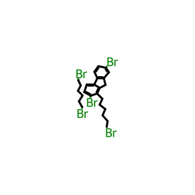 BrCCCCCCBr.BrCCCCCCc1c(Br)ccc2c1Cc1cc(Br)ccc1-2